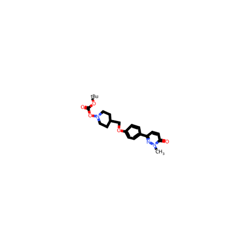 Cn1nc(-c2ccc(OCC3CCN(OC(=O)OC(C)(C)C)CC3)cc2)ccc1=O